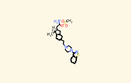 CC1(C)c2ccc(CCN3CCN(c4nsc5ccccc45)CC3)cc2CC1CC(N)OS(C)(=O)=O